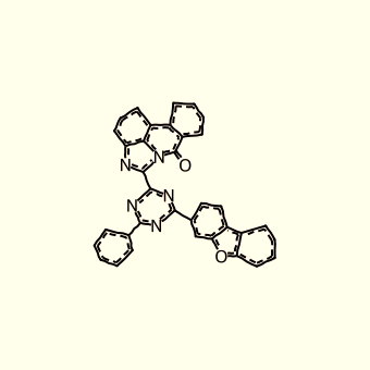 O=c1c2ccccc2c2cccc3nc(-c4nc(-c5ccccc5)nc(-c5ccc6c(c5)oc5ccccc56)n4)n1c32